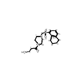 NCCC(=O)N1CCN(CS(=O)(=O)c2cccc3c2CCCC3)CC1